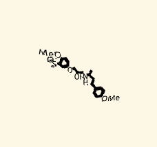 COc1ccc(CCC(C)NCC(O)COc2ccc(OC)c([S+](C)[O-])c2)cc1